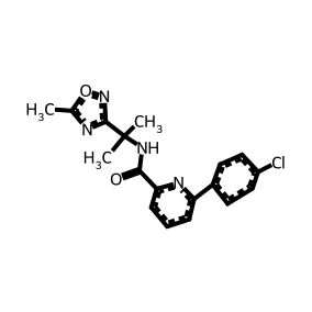 Cc1nc(C(C)(C)NC(=O)c2cccc(-c3ccc(Cl)cc3)n2)no1